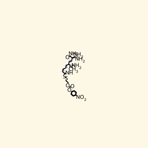 CN(N)C(/C=C/C=C\C(=N)SSCCOC(=O)Oc1ccc([N+](=O)[O-])cc1)/C=C/C(C(N)=O)=C(N)N